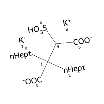 CCCCCCCC(CCCCCCC)(C(=O)[O-])C(C(=O)[O-])S(=O)(=O)O.[K+].[K+]